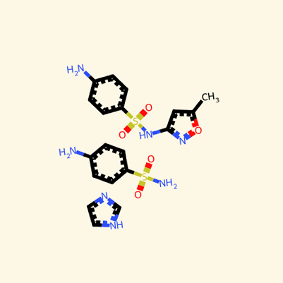 Cc1cc(NS(=O)(=O)c2ccc(N)cc2)no1.Nc1ccc(S(N)(=O)=O)cc1.c1c[nH]cn1